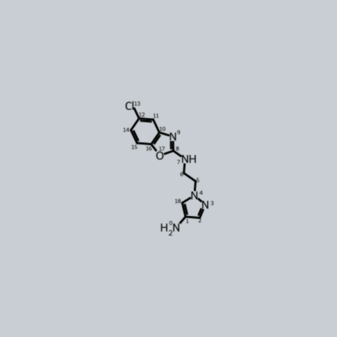 Nc1cnn(CCNc2nc3cc(Cl)ccc3o2)c1